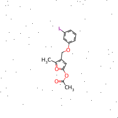 CC(=O)Oc1cc(COc2cccc(I)c2)c(C)o1